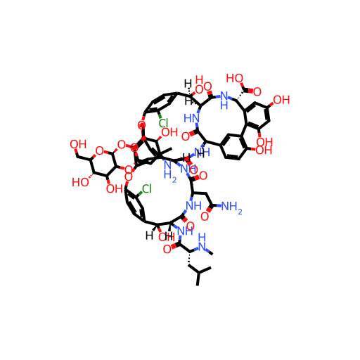 CN[C@H](CC(C)C)C(=O)N[C@H]1C(=O)NC(CC(N)=O)C(=O)N[C@H]2C(=O)N[C@H]3C(=O)N[C@H](C(=O)N[C@H](C(=O)O)c4cc(O)cc(O)c4-c4cc3ccc4O)[C@H](O)c3ccc(c(Cl)c3)Oc3cc2cc(c3O[C@@H]2OC(CO)[C@@H](O)C(O)C2O[C@H]2CC(C)(N)[C@H](O)C(C)O2)Oc2ccc(cc2Cl)[C@H]1O